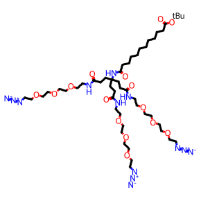 CC(C)(C)OC(=O)CCCCCCCCCCC(=O)NC(CCC(=O)NCCOCCOCCOCCN=[N+]=[N-])(CCC(=O)NCCOCCOCCOCCN=[N+]=[N-])CCC(=O)NCCOCCOCCOCCN=[N+]=[N-]